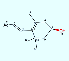 CC(=O)C=CC1=C(C)C[C@@H](O)CC1(C)C